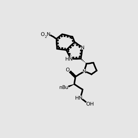 CCCC[C@H](CNO)C(=O)N1CCC[C@H]1c1nc2ccc([N+](=O)[O-])cc2[nH]1